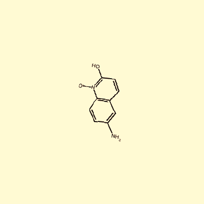 Nc1ccc2c(ccc(O)[n+]2[O-])c1